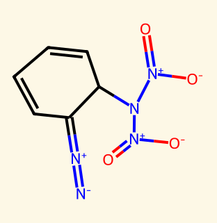 [N-]=[N+]=C1C=CC=CC1N([N+](=O)[O-])[N+](=O)[O-]